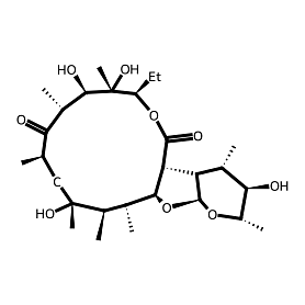 CC[C@H]1OC(=O)[C@H](C)[C@@H](O[C@H]2C[C@H](C)[C@@H](O)[C@H](C)O2)[C@H](C)[C@@H](C)[C@](C)(O)C[C@@H](C)C(=O)[C@H](C)[C@@H](O)[C@]1(C)O